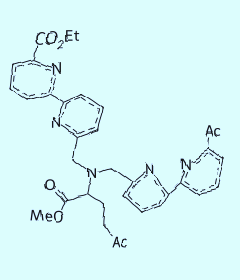 CCOC(=O)c1cccc(-c2cccc(CN(Cc3cccc(-c4cccc(C(C)=O)n4)n3)C(CCC(C)=O)C(=O)OC)n2)n1